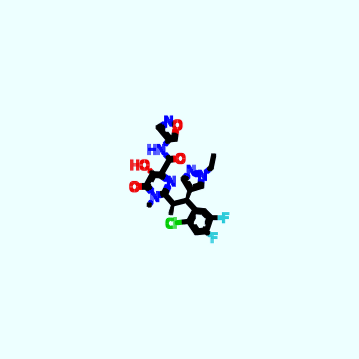 CCn1cc([C@@H](c2cc(F)c(F)cc2Cl)[C@@H](C)c2nc(C(=O)Nc3cnoc3)c(O)c(=O)n2C)cn1